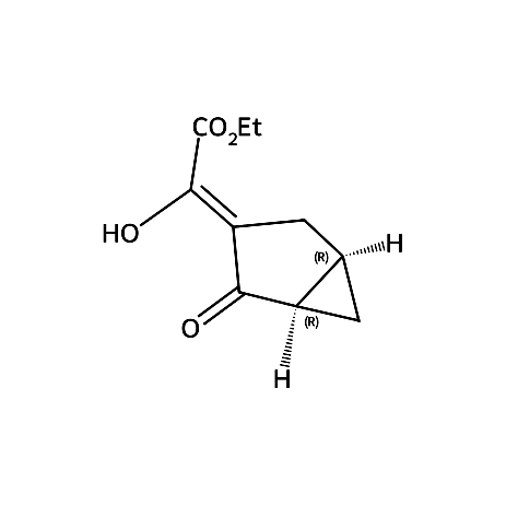 CCOC(=O)C(O)=C1C[C@H]2C[C@H]2C1=O